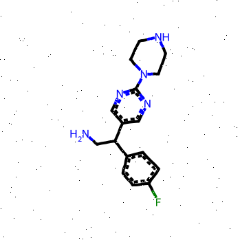 NCC(c1ccc(F)cc1)c1cnc(N2CCNCC2)nc1